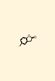 [CH2]c1ccc2c(c1)CC(=O)O2